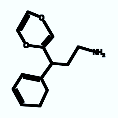 NCCC(C1=CC=CCC1)C1=COC=CO1